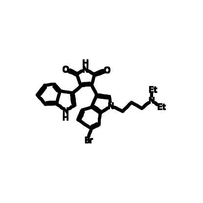 CCN(CC)CCCn1cc(C2=C(c3c[nH]c4ccccc34)C(=O)NC2=O)c2ccc(Br)cc21